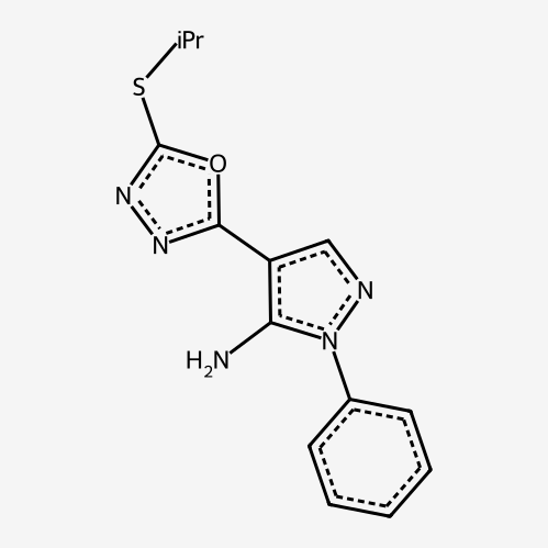 CC(C)Sc1nnc(-c2cnn(-c3ccccc3)c2N)o1